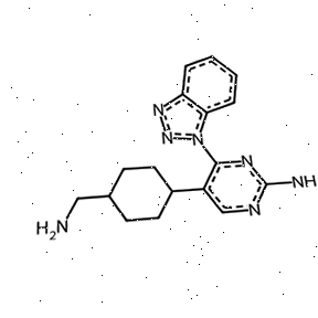 NCC1CCC(c2cnc(N)nc2-n2nnc3ccccc32)CC1